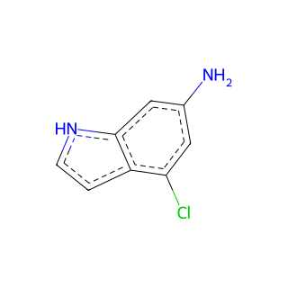 Nc1cc(Cl)c2cc[nH]c2c1